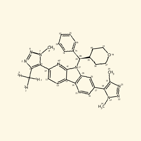 [2H]C([2H])([2H])c1nnn(C)c1-c1ccc2c3ncc(-c4c(C)nnn4C)cc3n([C@@H](c3ccccc3)C3CCOCC3)c2n1